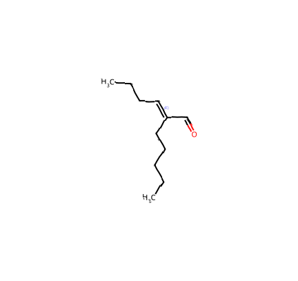 CCC/C=C(/C=O)CCCCC